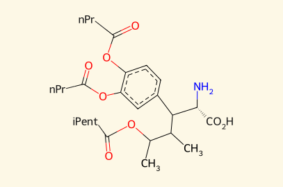 CCCC(=O)Oc1ccc(C(C(C)C(C)OC(=O)C(C)CCC)[C@H](N)C(=O)O)cc1OC(=O)CCC